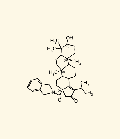 CC(C)C1=C2C3CCC4[C@@](C)(CCC5C(C)(C)[C@@H](O)CC[C@@]54C)C3CC[C@@]2(C(=O)N2Cc3ccccc3C2)CC1=O